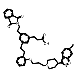 O=C(O)CCc1cc(CCc2ccccc2OCCCN2CCC(c3noc4cc(F)ccc34)CC2)cc(CCN2C(=O)c3ccccc3C2=O)c1